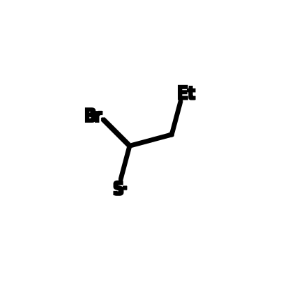 CCCC([S])Br